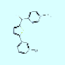 CCc1cccc(-c2ccc(C(Br)c3ccc(C)cc3)s2)c1